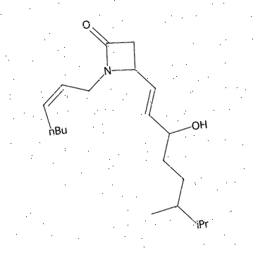 CCCC/C=C\CN1C(=O)CC1/C=C/C(O)CCC(C)C(C)C